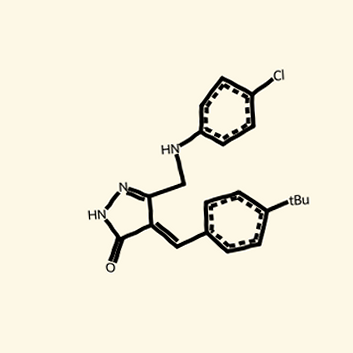 CC(C)(C)c1ccc(/C=C2/C(=O)NN=C2CNc2ccc(Cl)cc2)cc1